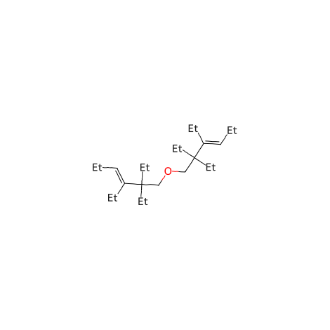 CC/C=C(\CC)C(CC)(CC)COCC(CC)(CC)/C(=C/CC)CC